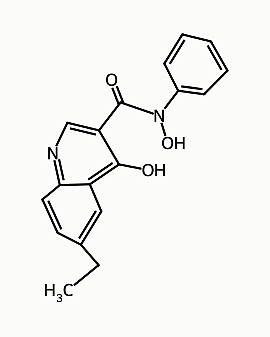 CCc1ccc2ncc(C(=O)N(O)c3ccccc3)c(O)c2c1